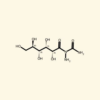 NC(=O)N(N)C(=O)[C@H](O)[C@@H](O)[C@H](O)[C@H](O)CO